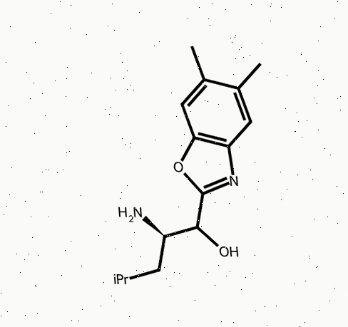 Cc1cc2nc(C(O)[C@H](N)CC(C)C)oc2cc1C